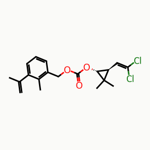 C=C(C)c1cccc(COC(=O)O[C@@H]2[C@@H](C=C(Cl)Cl)C2(C)C)c1C